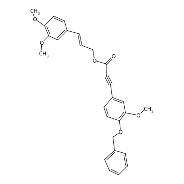 COc1ccc(C=CCOC(=O)C#Cc2ccc(OCc3ccccc3)c(OC)c2)cc1OC